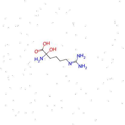 NC(N)=NCCCCC(N)(O)C(=O)O